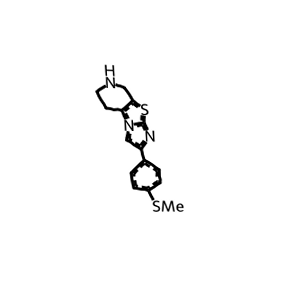 CSc1ccc(-c2cn3c4c(sc3n2)CNCC4)cc1